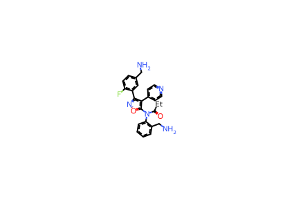 CCC(=O)N(c1ccccc1CN)c1onc(-c2cc(CN)ccc2F)c1-c1ccncc1